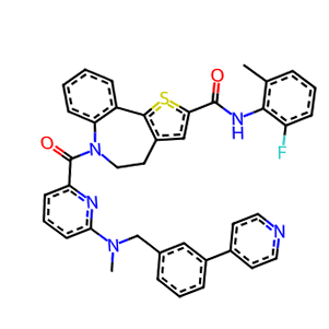 Cc1cccc(F)c1NC(=O)c1cc2c(s1)-c1ccccc1N(C(=O)c1cccc(N(C)Cc3cccc(-c4ccncc4)c3)n1)CC2